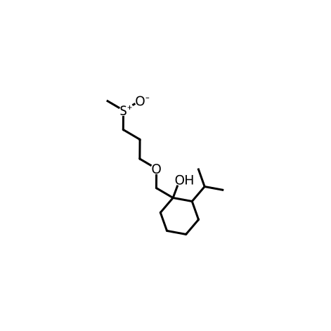 CC(C)C1CCCCC1(O)COCCC[S+](C)[O-]